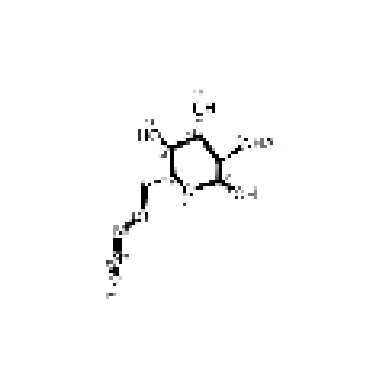 CC(=O)N[C@H]1C(O)O[C@H](CON=[N+]=[N-])[C@@H](O)[C@@H]1O